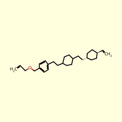 C=CCOCc1ccc(CCC2CCC(CC[C@H]3CC[C@H](C=C)CC3)CC2)cc1